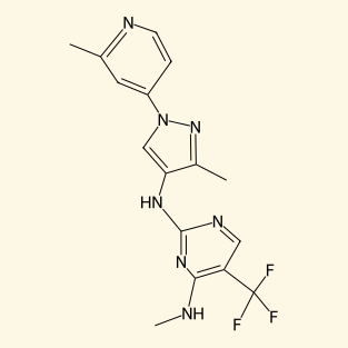 CNc1nc(Nc2cn(-c3ccnc(C)c3)nc2C)ncc1C(F)(F)F